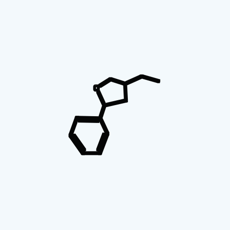 CCC1COC(c2ccccc2)C1